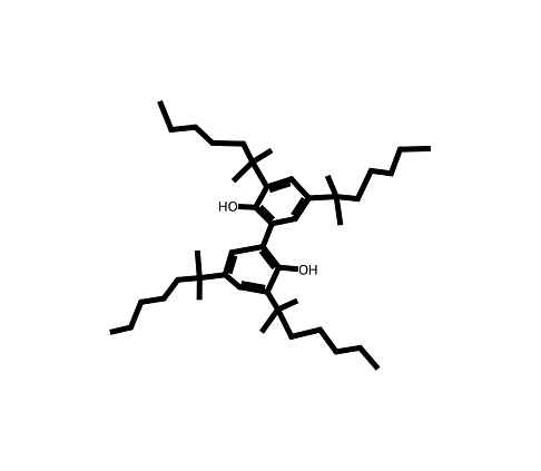 CCCCCC(C)(C)c1cc(-c2cc(C(C)(C)CCCCC)cc(C(C)(C)CCCCC)c2O)c(O)c(C(C)(C)CCCCC)c1